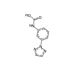 O=C(O)Nc1cccc(-n2nccn2)c1